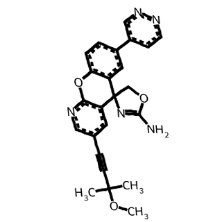 COC(C)(C)C#Cc1cnc2c(c1)C1(COC(N)=N1)c1cc(-c3ccnnc3)ccc1O2